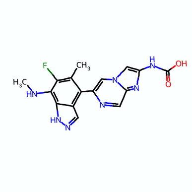 CNc1c(F)c(C)c(-c2cn3cc(NC(=O)O)nc3cn2)c2cn[nH]c12